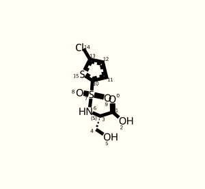 O=C(O)[C@H](CO)NS(=O)(=O)c1ccc(Cl)s1